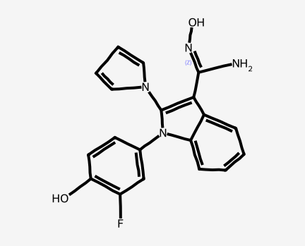 N/C(=N\O)c1c(-n2cccc2)n(-c2ccc(O)c(F)c2)c2ccccc12